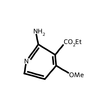 CCOC(=O)c1c(OC)ccnc1N